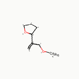 C=C(COOC)C1CCCO1